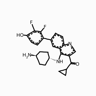 N[C@H]1CC[C@H](Nc2c(C(=O)C3CC3)cnc3ccc(-c4ccc(O)c(F)c4F)cc23)CC1